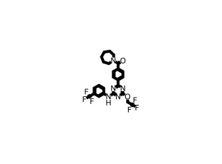 O=C(c1ccc(-c2nc(Nc3cccc(C(F)(F)F)c3)nc(OCC(F)(F)F)n2)cc1)N1CCCCCC1